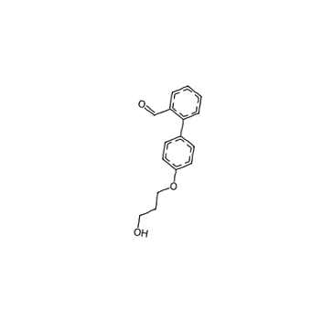 O=Cc1ccccc1-c1ccc(OCCCO)cc1